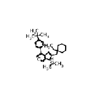 CCC1(CC2=Cc3c(-c4ccc(C(C)(C)C)cc4)cccc3C2[SiH](C)C)CCCCC1